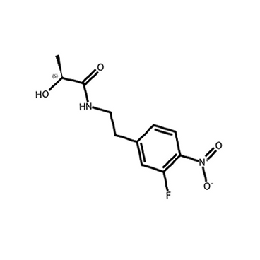 C[C@H](O)C(=O)NCCc1ccc([N+](=O)[O-])c(F)c1